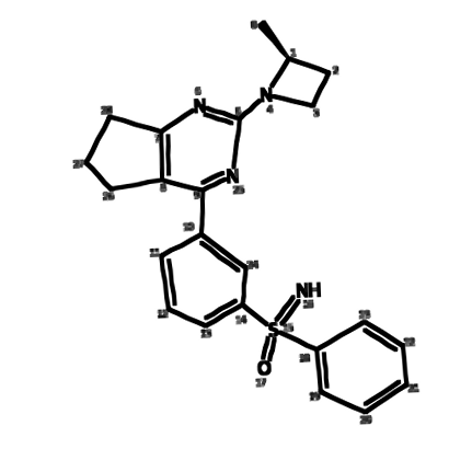 C[C@H]1CCN1c1nc2c(c(-c3cccc(S(=N)(=O)c4ccccc4)c3)n1)CCC2